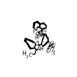 CCC(NC(=O)c1cc(OC)ccc1NS(=O)(=O)c1cccc2cccnc12)c1ccccc1